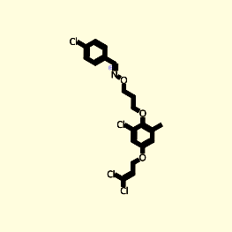 Cc1cc(OCC=C(Cl)Cl)cc(Cl)c1OCCCO/N=C/c1ccc(Cl)cc1